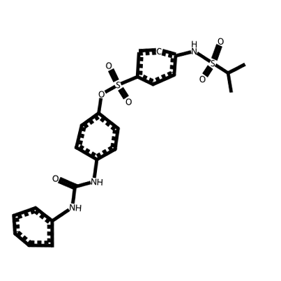 CC(C)S(=O)(=O)Nc1ccc(S(=O)(=O)Oc2ccc(NC(=O)Nc3ccccc3)cc2)cc1